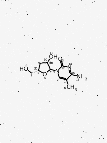 Cc1cn(C2O[C@H](CO)C[C@H]2O)c(=O)nc1N